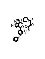 COC(=O)C1OC1C(=O)N1CCCC(Nc2ncnc3[nH]cc(C(=O)c4ccc(Oc5ccccc5)cc4)c23)C1